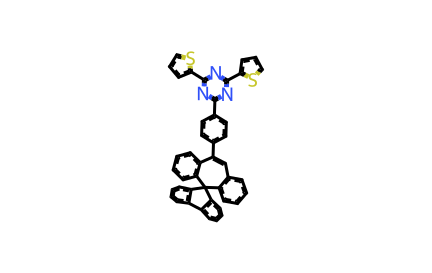 C1=C(c2ccc(-c3nc(-c4cccs4)nc(-c4cccs4)n3)cc2)c2ccccc2C2(c3ccccc31)c1ccccc1-c1ccccc12